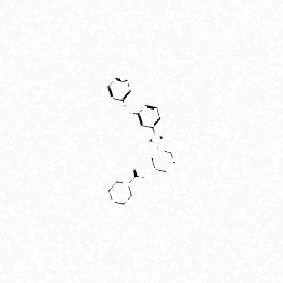 O=C(N[C@H]1CCCN(S(=O)(=O)c2cccc(Oc3ccccc3)c2)C1)C1CCCCC1